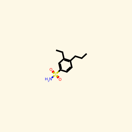 CCCc1ccc(S(N)(=O)=O)cc1CC